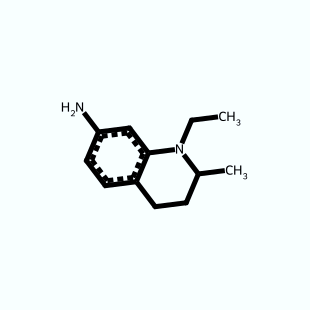 CCN1c2cc(N)ccc2CCC1C